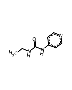 CCNC(=O)Nc1ccncc1